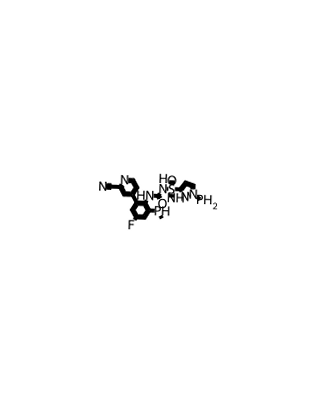 CPc1cc(F)cc(-c2ccnc(C#N)c2)c1NC(=O)NS(=N)(=O)c1ccn(P)n1